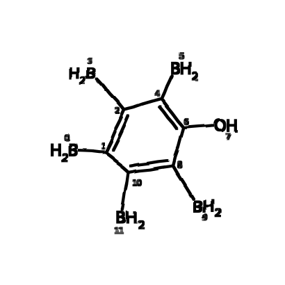 Bc1c(B)c(B)c(O)c(B)c1B